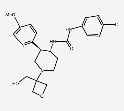 COc1ccc([C@@H]2CN(C3(CO)COC3)CC[C@H]2NC(=O)Nc2ccc(Cl)cc2)nc1